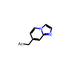 CC(=O)Cc1ccn2ccnc2c1